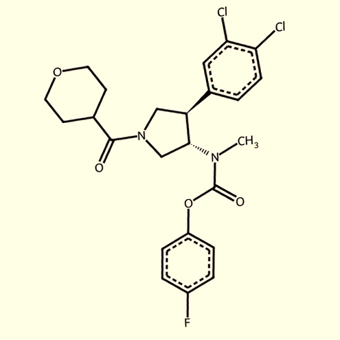 CN(C(=O)Oc1ccc(F)cc1)[C@@H]1CN(C(=O)C2CCOCC2)C[C@H]1c1ccc(Cl)c(Cl)c1